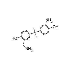 CC(C)(c1ccc(O)c(N)c1)c1ccc(O)c(CN)c1